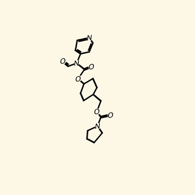 O=CN(C(=O)OC1CCC(COC(=O)N2CCCC2)CC1)c1ccncc1